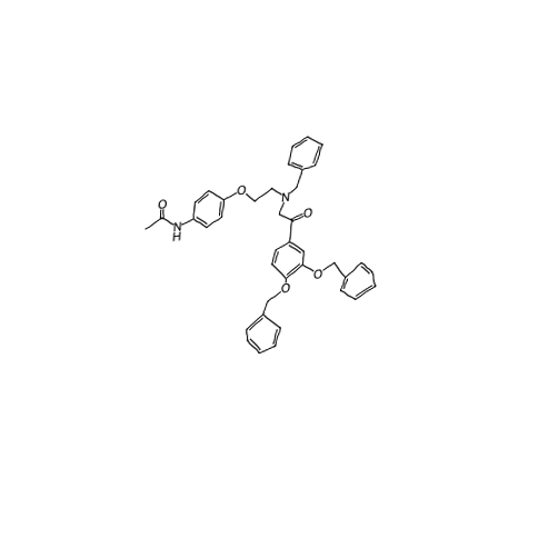 CC(=O)Nc1ccc(OCCN(CC(=O)c2ccc(OCc3ccccc3)c(OCc3ccccc3)c2)Cc2ccccc2)cc1